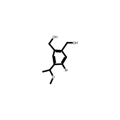 COC(C)c1cc(CO)c(CO)cc1Br